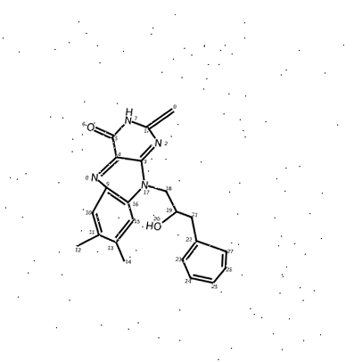 C=c1nc2c(c(=O)[nH]1)=Nc1cc(C)c(C)cc1N2CC(O)Cc1ccccc1